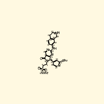 CNS(=O)(=O)CCn1c(=O)c2cnc(Nc3ccc4c(c3)CNCC4)nc2n1-c1ccnc(C(C)(C)C)c1